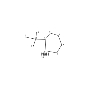 CC(C)(C)C1CC[CH]CC1.[NaH]